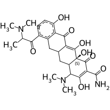 CC(C(=O)c1ccc(O)c2c1CC1CC3C(N(C)C)C(O)=C(C(N)=O)C(=O)[C@@]3(O)C(O)=C1C2=O)N(C)C